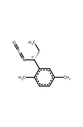 CC[C@@H](N=C=O)c1cc(C)ccc1C